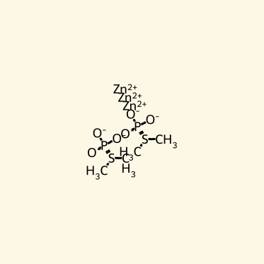 CS(C)=P([O-])([O-])[O-].CS(C)=P([O-])([O-])[O-].[Zn+2].[Zn+2].[Zn+2]